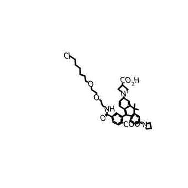 CC1(C)C2=CC(=[N+]3CC(C(=O)O)C3)C=CC2=C(c2cc(C(=O)NCCOCCOCCCCCCCl)ccc2C(=O)[O-])c2ccc(N3CCC3)cc21